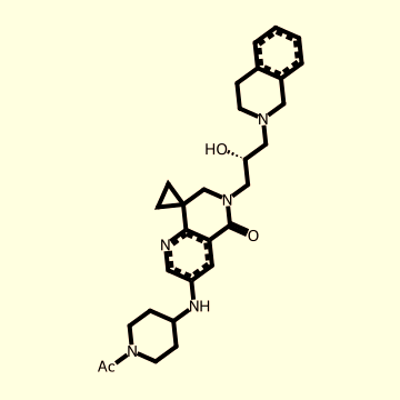 CC(=O)N1CCC(Nc2cnc3c(c2)C(=O)N(C[C@H](O)CN2CCc4ccccc4C2)CC32CC2)CC1